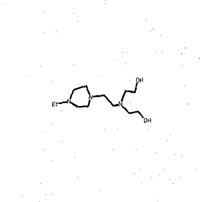 CCN1CCN(CCN(CCO)CCO)CC1